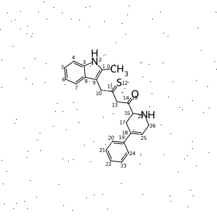 Cc1[nH]c2ccccc2c1CC(=S)CC(=O)C1CC(c2ccccc2)=CCN1